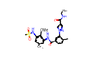 COc1c(NC(=O)c2ccc(C)c(-n3cc(C(=O)NCC(C)(C)C)cn3)c2)cc(C(F)(F)F)cc1NS(C)(=O)=O